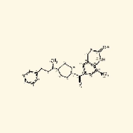 CN(CCc1ccccc1)C1CCN(C(=O)c2cc3c(c([N+](=O)[O-])c2)NC(=O)CC3)CC1